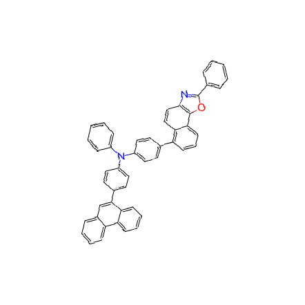 c1ccc(-c2nc3ccc4c(-c5ccc(N(c6ccccc6)c6ccc(-c7cc8ccccc8c8ccccc78)cc6)cc5)cccc4c3o2)cc1